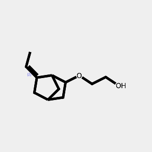 C/C=C1/CC2CC(OCCO)C1C2